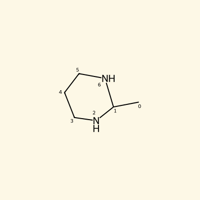 CC1NCCCN1